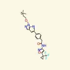 C[Si](C)(C)CCOCn1ncc2cc(-c3ccc(CC(=O)Nc4cc(C5(C(F)(F)F)CC5)on4)cc3)cnc21